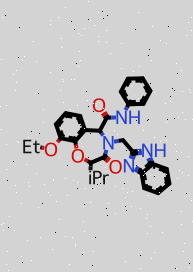 CCOc1cccc2c1OC(C(C)C)C(=O)N(Cc1nc3ccccc3[nH]1)C2C(=O)Nc1ccccc1